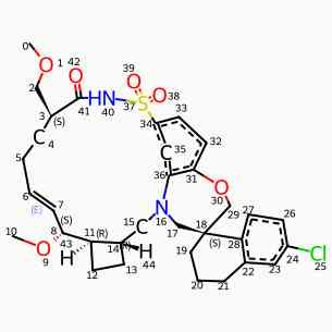 COC[C@@H]1CC/C=C/[C@@H](OC)[C@@H]2CC[C@H]2CN2C[C@@]3(CCCc4cc(Cl)ccc43)COc3ccc(cc32)S(=O)(=O)NC1=O